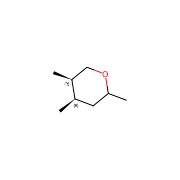 CC1C[C@@H](C)[C@@H](C)CO1